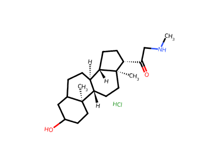 CNCC(=O)[C@H]1CC[C@H]2[C@@H]3CCC4CC(O)CC[C@]4(C)[C@H]3CC[C@]12C.Cl